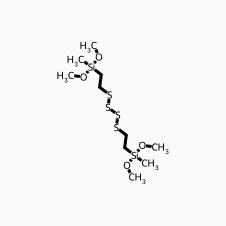 CO[Si](C)(CCSSSSCC[Si](C)(OC)OC)OC